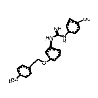 CC(C)(C)c1ccc(COc2cccc(NC(=N)Nc3ccc(C(C)(C)C)cc3)c2)cc1